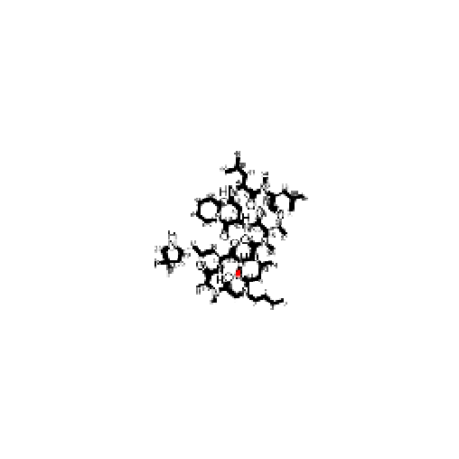 CCCCN(CC(=O)N(C)[C@@H](C)C(=O)N[C@@H](CCC[C@@H]1CC(F)(F)CN1)C(=O)N(C)CC(=O)N(C)[C@@H](CC)C(=O)NC(CC(=O)NC(CC(C)C)C(=O)N(C)[C@H](C=O)CC(C)C)C(=O)N1CCCCC1)C(=O)CC(C)O